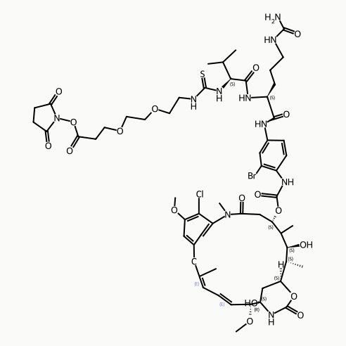 COc1cc2cc(c1Cl)N(C)C(=O)C[C@H](OC(=O)Nc1ccc(NC(=O)[C@H](CCCNC(N)=O)NC(=O)[C@@H](NC(=S)NCCOCCOCCC(=O)ON3C(=O)CCC3=O)C(C)C)cc1Br)C(C)[C@@H](O)[C@H](C)[C@@H]1C[C@@](O)(NC(=O)O1)[C@H](OC)/C=C/C=C(\C)C2